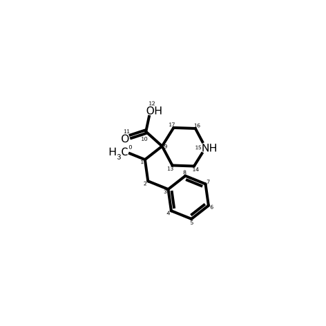 CC(Cc1ccccc1)C1(C(=O)O)CCNCC1